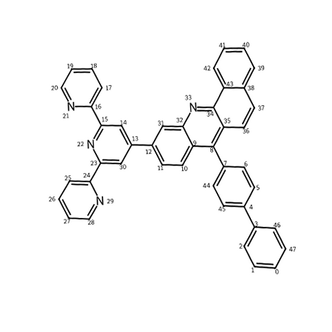 c1ccc(-c2ccc(-c3c4ccc(-c5cc(-c6ccccn6)nc(-c6ccccn6)c5)cc4nc4c3ccc3ccccc34)cc2)cc1